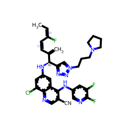 C=C(/C=C\C(F)=C/C)[C@H](Nc1cc(Cl)c2ncc(C#N)c(Nc3cnc(F)c(F)c3)c2c1)c1cn(CCCN2CCCC2)nn1